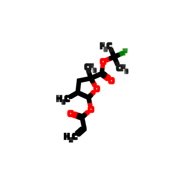 C=CC(=O)OC1OC(C(=O)OC(F)(C(F)(F)F)C(F)(F)F)(C(F)(F)F)CC1C